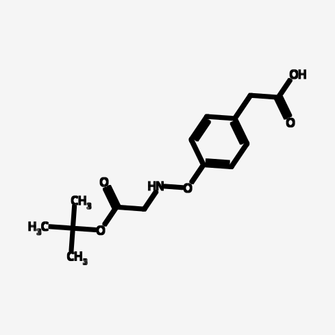 CC(C)(C)OC(=O)CNOc1ccc(CC(=O)O)cc1